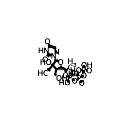 C#CC1(O)C(CO)[C@@H]([C@H](C)OP(=O)(O)OP(=O)(O)OP(=O)(O)O)O[C@H]1n1ncc(=O)[nH]c1=O